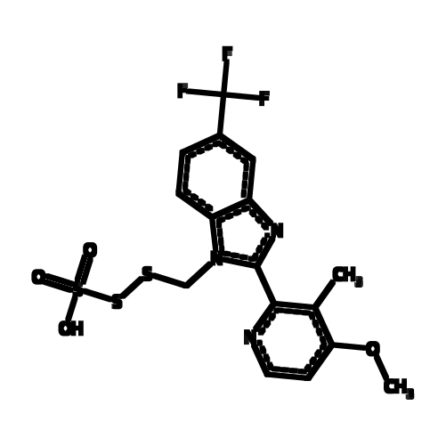 COc1ccnc(-c2nc3cc(C(F)(F)F)ccc3n2CSSS(=O)(=O)O)c1C